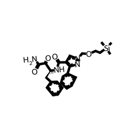 C[Si](C)(C)CCOCn1cc(C(=O)N[C@@H](Cc2ccccc2)C(=O)C(N)=O)c(-c2ccccc2)n1